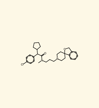 CN(CCCN1CCC2(CC1)OCc1ccccc12)C(=O)C(c1ccc(Cl)cc1)C1CCCC1